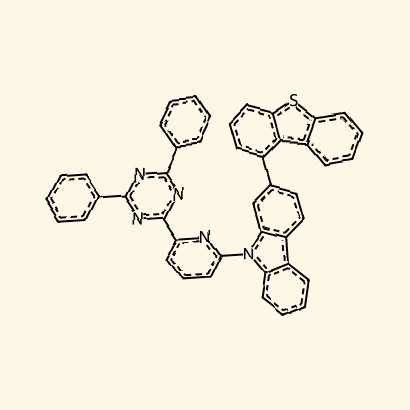 c1ccc(-c2nc(-c3ccccc3)nc(-c3cccc(-n4c5ccccc5c5ccc(-c6cccc7sc8ccccc8c67)cc54)n3)n2)cc1